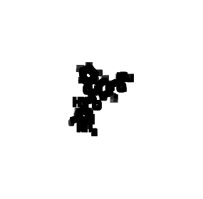 Cc1cc(NC(=O)C(=O)N2C[C@@H](C)N(C(=O)C(C)(C)C)C[C@@H]2c2ccccc2)cnc1N